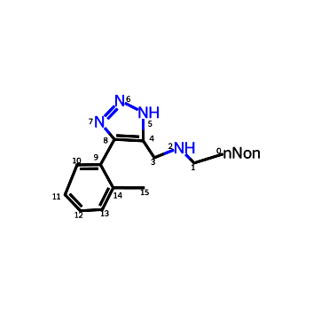 CCCCCCCCCCNCc1[nH]nnc1-c1ccccc1C